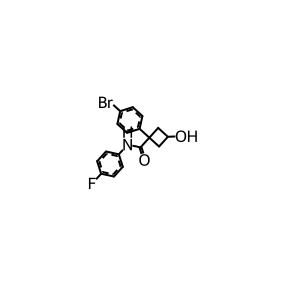 O=C(Nc1ccc(F)cc1)C1(c2ccc(Br)cc2)CC(O)C1